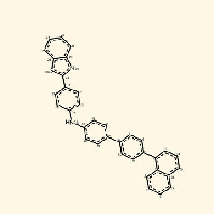 c1ccc2c(-c3ccc(-c4ccc(Nc5ccc(-c6nc7ccccc7s6)cc5)cc4)cc3)cccc2c1